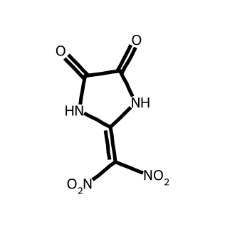 O=C1NC(=C([N+](=O)[O-])[N+](=O)[O-])NC1=O